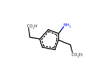 CCOC(=O)Cc1ccc(CC(=O)O)cc1N